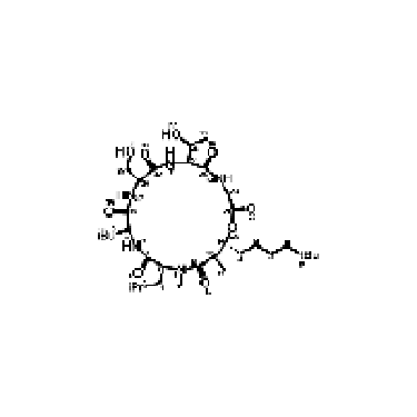 CC[C@H](C)[C@@H]1NC(=O)[C@H](CC(C)C)N(C)C(=O)[C@H](C)[C@@H](CCCCC(C)(C)C)OC(=O)CNC(=O)[C@H]([C@H](C)O)NC(=O)[C@H](CO)NC1=O